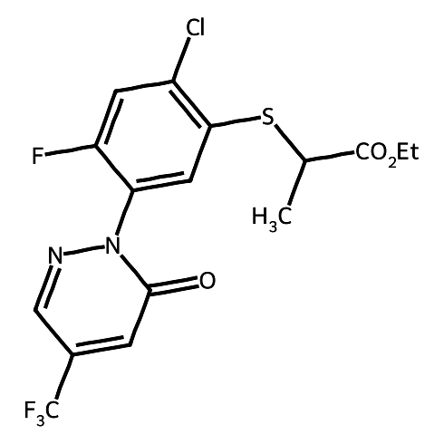 CCOC(=O)C(C)Sc1cc(-n2ncc(C(F)(F)F)cc2=O)c(F)cc1Cl